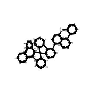 c1ccc2c(c1)Oc1ccc(-c3cccc4c3-c3ccccc3C43c4ccccc4-c4c3c3ccccc3c3ccccc43)c3cccc-2c13